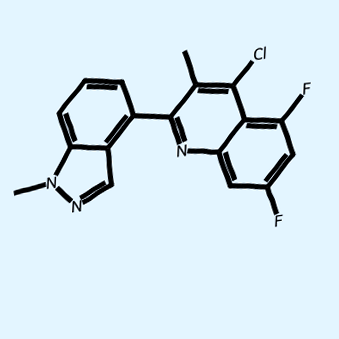 Cc1c(-c2cccc3c2cnn3C)nc2cc(F)cc(F)c2c1Cl